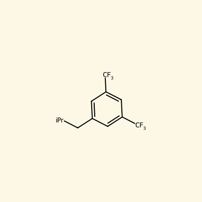 [CH2]C(C)Cc1cc(C(F)(F)F)cc(C(F)(F)F)c1